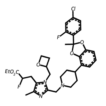 CCOC(=O)C(F)Cc1c(C)nc(CN2CCC(c3cccc4c3OC(C)(c3ccc(Cl)cc3F)O4)CC2)n1CC1CCO1